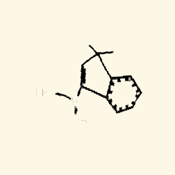 CC1(C)C=C(B(O)O)c2ccccc21